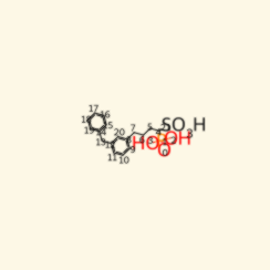 O=P(O)(O)C(CCCc1cccc(Cc2ccccc2)c1)S(=O)(=O)O